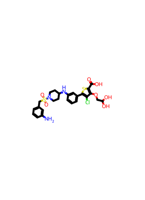 Nc1cccc(CS(=O)(=O)N2CCC(Nc3cccc(-c4sc(C(=O)O)c(OCC(O)O)c4Cl)c3)CC2)c1